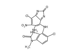 Cn1c(=O)[nH]c2c(Nc3c(N)c([N+](=O)[O-])c(Cl)c4c3=NC(=O)N=4)c(Cl)ccc21